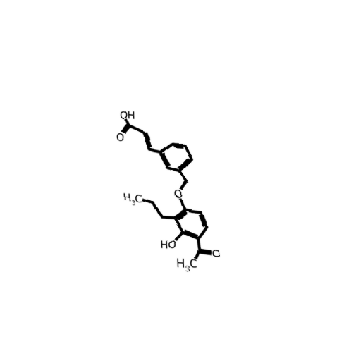 CCCc1c(OCc2cccc(C=CC(=O)O)c2)ccc(C(C)=O)c1O